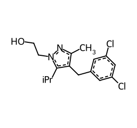 Cc1nn(CCO)c(C(C)C)c1Cc1cc(Cl)cc(Cl)c1